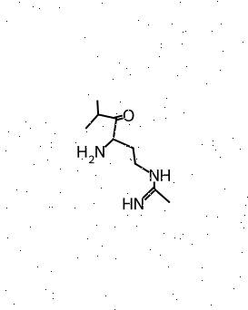 CC(=N)NCCC(N)C(=O)C(C)C